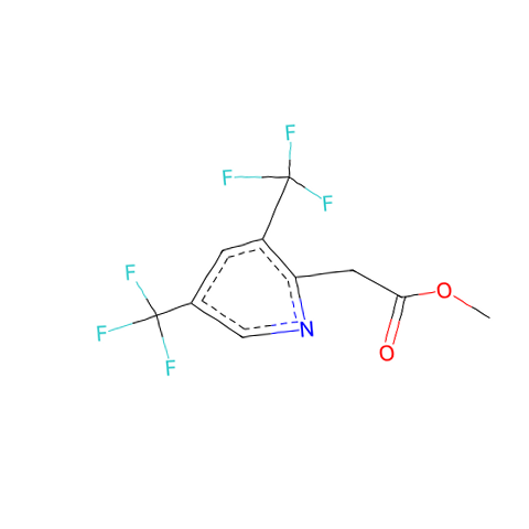 COC(=O)Cc1ncc(C(F)(F)F)cc1C(F)(F)F